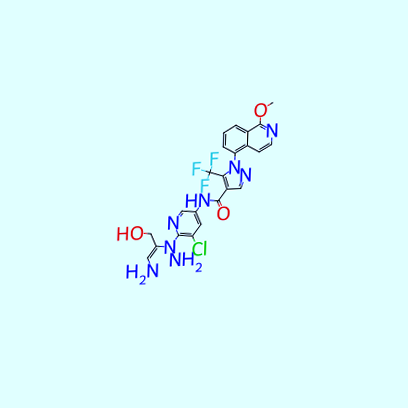 COc1nccc2c(-n3ncc(C(=O)Nc4cnc(N(N)/C(=C\N)CO)c(Cl)c4)c3C(F)(F)F)cccc12